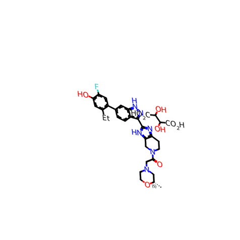 CCc1cc(O)c(F)cc1-c1ccc2c(-c3nc4c([nH]3)CN(C(=O)CN3CCO[C@@H](C)C3)CC4)n[nH]c2c1.O=C(O)C(O)C(O)C(=O)O